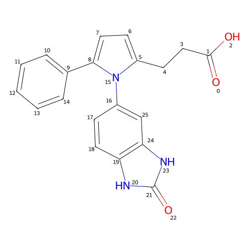 O=C(O)CCc1ccc(-c2ccccc2)n1-c1ccc2[nH]c(=O)[nH]c2c1